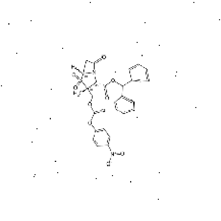 C[C@]1(COC(=O)Oc2ccc([N+](=O)[O-])cc2)[C@@H](C(=O)OC(c2ccccc2)c2ccccc2)N2C(=O)C[C@H]2S1(=O)=O